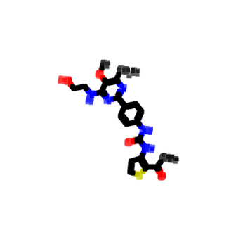 CCOC(=O)c1nc(-c2ccc(NC(=O)Nc3ccsc3C(=O)OC)cc2)nc(NCCO)c1OCC